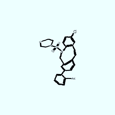 CC(=O)c1ccccc1-c1ccc2c(c1)CN(S(=O)(=O)N1CCOCC1)c1ccc(Cl)cc1/C=C\2